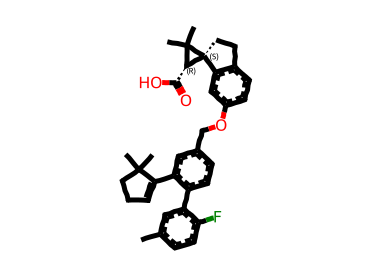 Cc1ccc(F)c(-c2ccc(COc3ccc4c(c3)[C@@]3(CC4)[C@H](C(=O)O)C3(C)C)cc2C2=CCCC2(C)C)c1